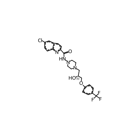 O=C(NN1CCN(C[C@H](O)COc2ccc(C(F)(F)F)cc2)CC1)c1ccc2cc(Cl)ccc2n1